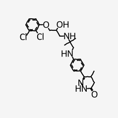 CC1CC(=O)NN=C1c1ccc(NCC(C)(C)NCC(O)COc2cccc(Cl)c2Cl)cc1